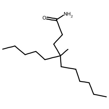 CCCCCCC(C)(CCCCC)CCC(N)=O